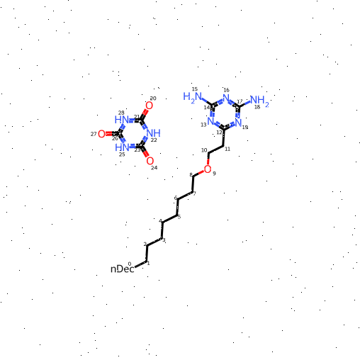 CCCCCCCCCCCCCCCCCCOCCc1nc(N)nc(N)n1.O=c1[nH]c(=O)[nH]c(=O)[nH]1